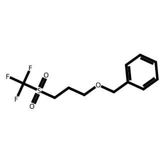 O=S(=O)(CCCOCc1ccccc1)C(F)(F)F